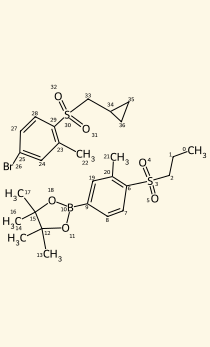 CCCS(=O)(=O)c1ccc(B2OC(C)(C)C(C)(C)O2)cc1C.Cc1cc(Br)ccc1S(=O)(=O)CC1CC1